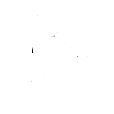 COc1ccnc(C(=O)N[C@@H]2CC(C)(C)C[C@@](C)(C(=O)N(C)CCc3ccccc3)C2)c1O